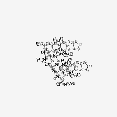 CCc1nc(NNC(=O)[C@H](CC2CCCC2)CN(O)C=O)c(F)c([C@@](C)(C(N)=O)N(C)C)n1.CCc1nc(NNC(=O)[C@H](CC2CCCC2)CN(O)C=O)c(F)c([N+](C)=C(C)C(=O)NC)n1